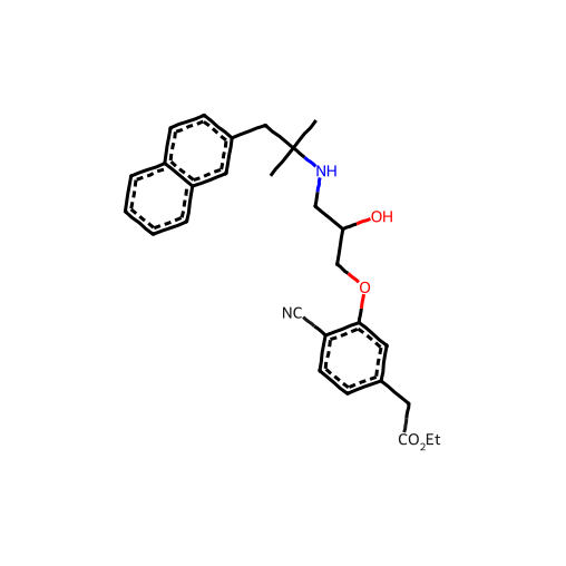 CCOC(=O)Cc1ccc(C#N)c(OCC(O)CNC(C)(C)Cc2ccc3ccccc3c2)c1